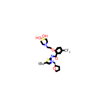 CC(C)(C)c1cn(C[C@H]2CCCO2)c(=NC(=O)c2cc(C(F)(F)F)ccc2OCCN2CCS(O)(O)CC2)s1